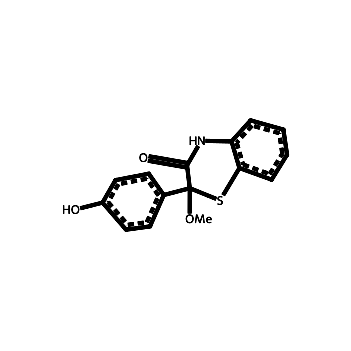 COC1(c2ccc(O)cc2)Sc2ccccc2NC1=O